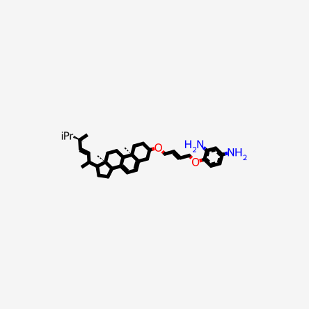 CC(/C=C/[C@H](C)C(C)C)C1CCC2C3=CC=C4CC(OC/C=C/COc5ccc(N)cc5N)CC[C@]4(C)C3CC[C@@]21C